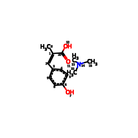 CC(=Cc1ccc(O)cc1)C(=O)O.CN(C)C